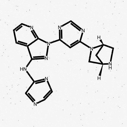 c1cnc2c(c1)c(Nc1cnccn1)nn2-c1cc(N2C[C@@H]3C[C@H]2CN3)ncn1